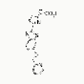 O=C(O)OC1CSC(c2nc3ccc(OCc4ccccn4)cc3s2)=N1